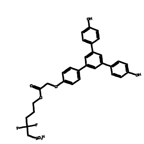 O=C(COc1ccc(-c2cc(-c3ccc(O)cc3)cc(-c3ccc(O)cc3)c2)cc1)OCCCC(F)(F)CS(=O)(=O)O